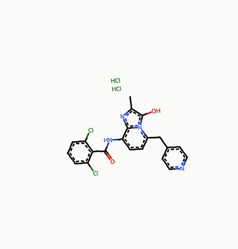 Cc1nc2c(NC(=O)c3c(Cl)cccc3Cl)ccc(Cc3ccncc3)n2c1O.Cl.Cl